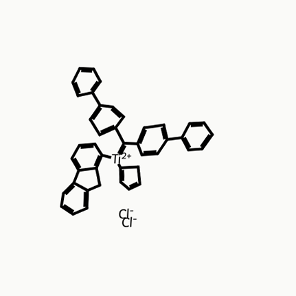 C1=CC[C]([Ti+2](=[C](c2ccc(-c3ccccc3)cc2)c2ccc(-c3ccccc3)cc2)[c]2cccc3c2Cc2ccccc2-3)=C1.[Cl-].[Cl-]